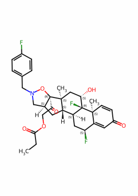 CCC(=O)OCC(=O)[C@@]12ON(Cc3ccc(F)cc3)C[C@@H]1C[C@H]1[C@@H]3C[C@H](F)C4=CC(=O)C=C[C@]4(C)[C@@]3(F)[C@@H](O)C[C@@]12C